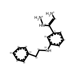 N/C=C(\NN)c1cccc(NCCc2ccccc2)c1